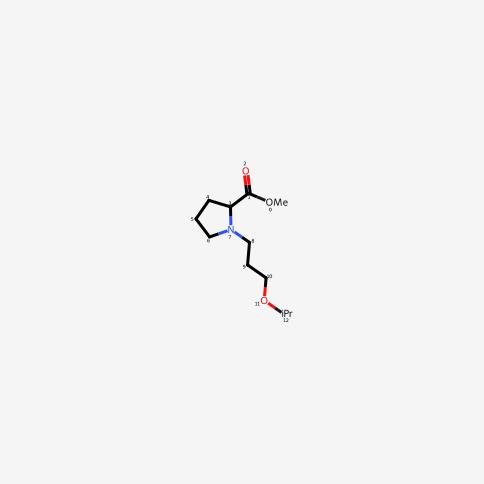 COC(=O)C1CCCN1CCCOC(C)C